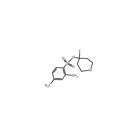 Cc1ccc(S(=O)(=O)OC2(F)CCOCC2)c(C)c1